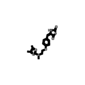 Cc1nc(N(C)CCOc2ccc(C=C3NC(=O)SC3=O)cc2)oc1C